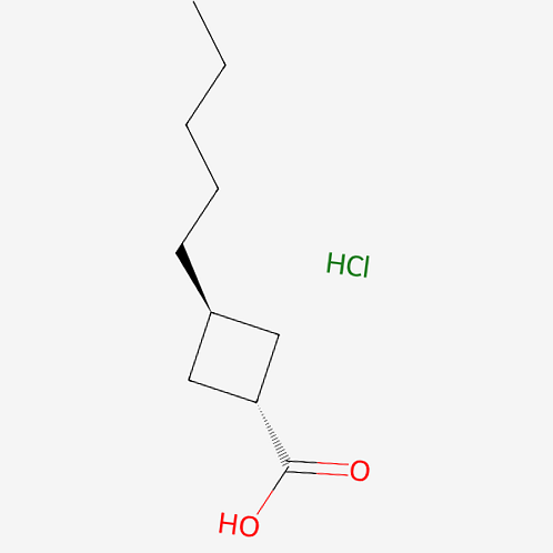 CCCCC[C@H]1C[C@H](C(=O)O)C1.Cl